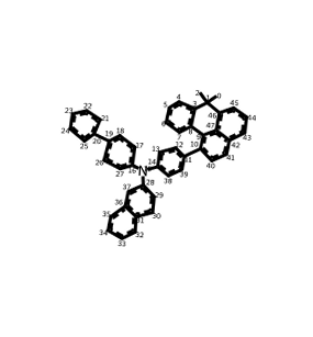 CC1(C)c2ccccc2-c2c(-c3ccc(N(c4ccc(-c5ccccc5)cc4)c4ccc5ccccc5c4)cc3)ccc3cccc1c23